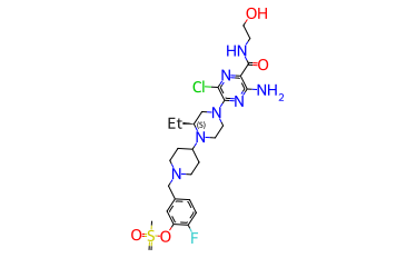 C=S(C)(=O)Oc1cc(CN2CCC(N3CCN(c4nc(N)c(C(=O)NCCO)nc4Cl)C[C@@H]3CC)CC2)ccc1F